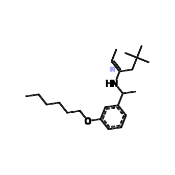 C/C=C(\CC(C)(C)C)NC(C)c1cccc(OCCCCCC)c1